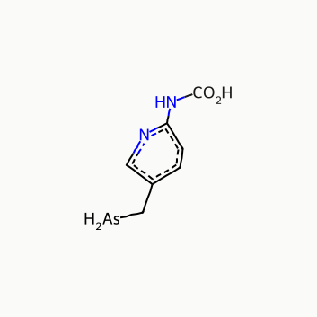 O=C(O)Nc1ccc(C[AsH2])cn1